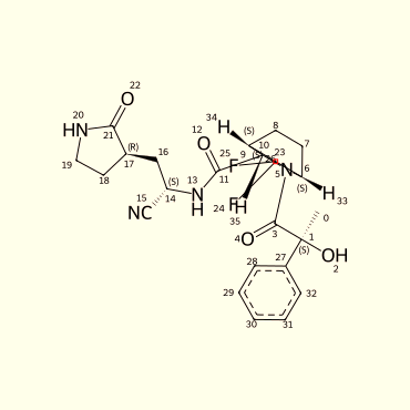 C[C@@](O)(C(=O)N1[C@H]2CC[C@@H]([C@H]1C(=O)N[C@H](C#N)C[C@H]1CCNC1=O)C(F)(F)C2)c1ccccc1